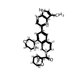 Cc1c[nH]c2ncc(-c3cc4c(c([C@@H]5COCCN5)c3)CN(C(=O)N3CC5CCC3CO5)CC4)nc12